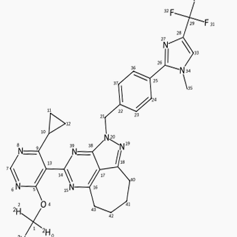 [2H]C([2H])([2H])Oc1ncnc(C2CC2)c1-c1nc2c3c(nn(Cc4ccc(-c5nc(C(F)(F)F)cn5C)cc4)c3n1)CCCC2